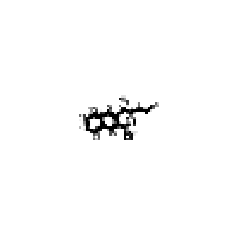 CCCC(=O)C(=O)c1cc2ccccc2cc1CBr